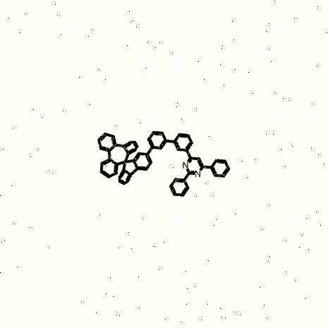 c1ccc(-c2cc(-c3cccc(-c4cccc(-c5ccc6c(c5)C5(c7ccccc7-c7ccccc7-c7ccccc75)c5ccccc5-6)c4)c3)nc(-c3ccccc3)n2)cc1